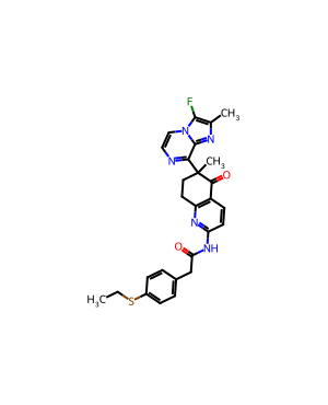 CCSc1ccc(CC(=O)Nc2ccc3c(n2)CCC(C)(c2nccn4c(F)c(C)nc24)C3=O)cc1